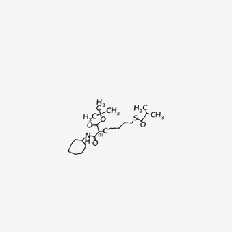 CC(C)C(=O)SCCCCC[C@@H](C(=O)NC1CCCCCC1)C(=O)OC(C)(C)C